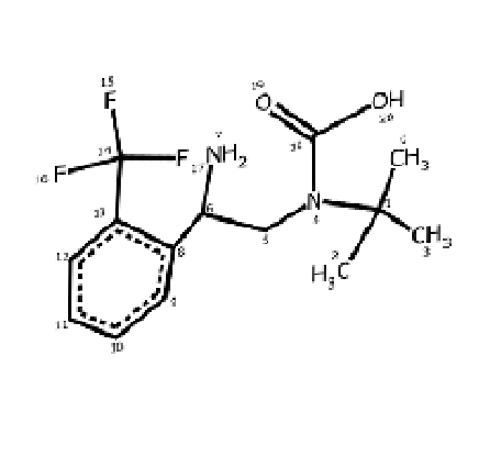 CC(C)(C)N(CC(N)c1ccccc1C(F)(F)F)C(=O)O